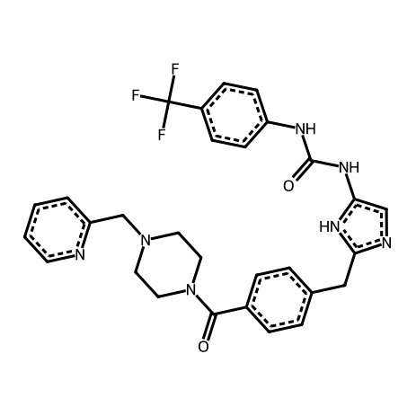 O=C(Nc1ccc(C(F)(F)F)cc1)Nc1cnc(Cc2ccc(C(=O)N3CCN(Cc4ccccn4)CC3)cc2)[nH]1